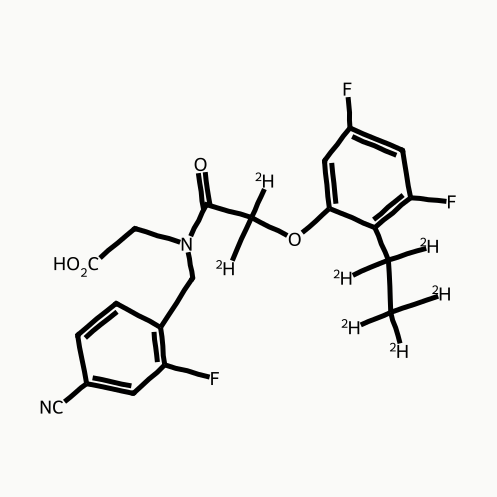 [2H]C([2H])(Oc1cc(F)cc(F)c1C([2H])([2H])C([2H])([2H])[2H])C(=O)N(CC(=O)O)Cc1ccc(C#N)cc1F